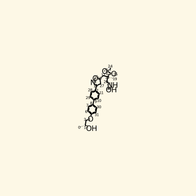 C[C@@H](O)COc1ccc(-c2ccc(C3=NO[C@@H](C[C@](C)(CNO)S(C)(=O)=O)C3)cc2)cc1